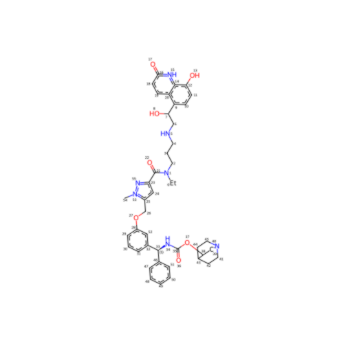 CCN(CCCNCC(O)c1ccc(O)c2[nH]c(=O)ccc12)C(=O)c1cc(COc2cccc([C@@H](NC(=O)OC3CN4CCC3CC4)c3ccccc3)c2)n(C)n1